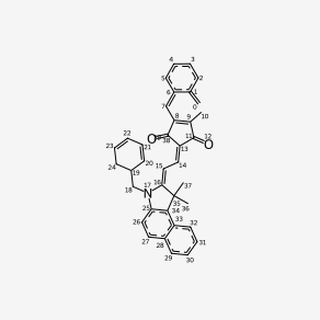 C=c1cccc/c1=C/C1=C(C)C(=O)/C(=C/C=C2/N(CC3C=CC=CC3)c3ccc4ccccc4c3C2(C)C)C1=O